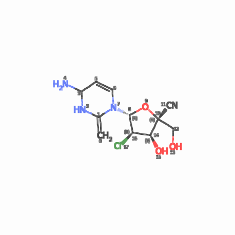 C=C1NC(N)C=CN1[C@@H]1O[C@](C#N)(CO)[C@@H](O)[C@H]1Cl